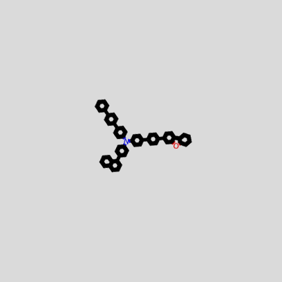 c1ccc(-c2ccc(-c3ccc(N(c4ccc(-c5ccc(-c6ccc7c(c6)oc6ccccc67)cc5)cc4)c4ccc(-c5cccc6ccccc56)cc4)cc3)cc2)cc1